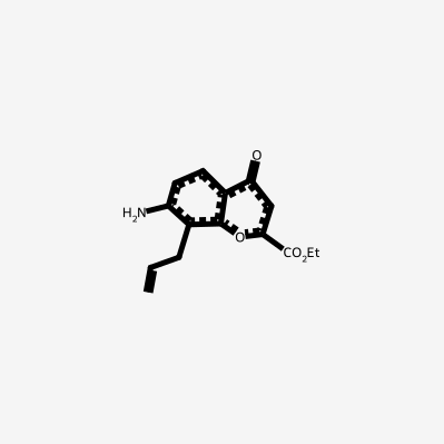 C=CCc1c(N)ccc2c(=O)cc(C(=O)OCC)oc12